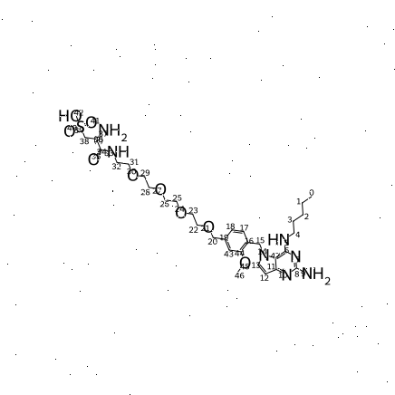 CCCCCNc1nc(N)nc2ccn(Cc3ccc(COCCOCCOCCOCCNC(=O)[C@@H](N)CS(=O)(=O)O)cc3OC)c12